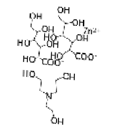 O=C([O-])C(O)C(O)C(O)C(O)CO.O=C([O-])C(O)C(O)C(O)C(O)CO.OCCN(CCO)CCO.[Zn+2]